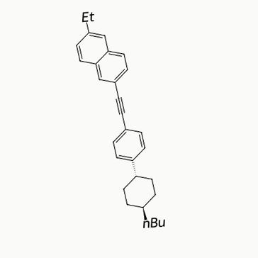 CCCC[C@H]1CC[C@H](c2ccc(C#Cc3ccc4cc(CC)ccc4c3)cc2)CC1